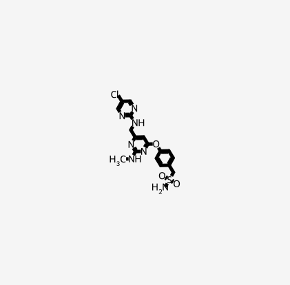 CNc1nc(CNc2ncc(Cl)cn2)cc(Oc2ccc(CS(N)(=O)=O)cc2)n1